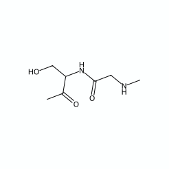 CNCC(=O)NC(CO)C(C)=O